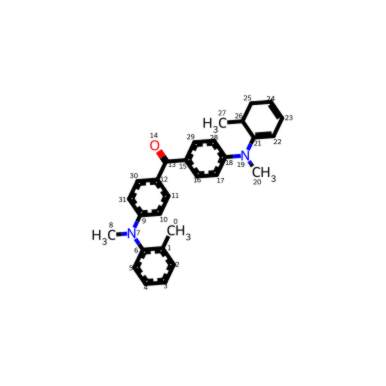 Cc1ccccc1N(C)c1ccc(C(=O)c2ccc(N(C)C3=CC=CCC3C)cc2)cc1